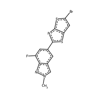 Cn1cc2cc(-c3nc4sc(Br)cc4s3)cc(F)c2n1